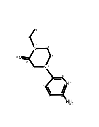 CCN1CCN(c2ccc(N)nc2)CC1=O